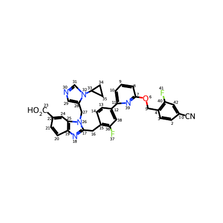 N#Cc1ccc(COc2cccc(-c3ccc(Cc4nc5ccc(C(=O)O)cc5n4Cc4cncn4C4CC4)c(F)c3)n2)c(F)c1